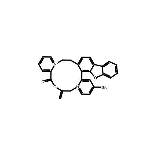 C=C1C[n+]2ccc(C(C)(C)C)cc2-c2c(ccc3c2oc2ccccc23)CC[n+]2ccccc2C(=O)O1